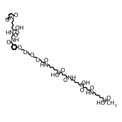 CC(=O)N(O)CCCCCNC(=O)CCC(=O)N(O)CCCCCNC(=O)CCC(=O)N(O)CCCCCNC(=O)CCOCCOCCOCCOc1cccc(C(=O)NCC(=O)NC(CCCCN2C(=O)C=CC2=O)C(=O)O)c1